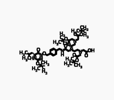 CC(C)C[C@@H](NC(=O)OC(C)(C)C)C(=O)NOCc1ccc(CNC(=O)CN(CCN(CC(=O)O)CC(=O)OC(C)(C)C)CCN(CC(=O)OC(C)(C)C)CC(=O)OC(C)(C)C)cc1